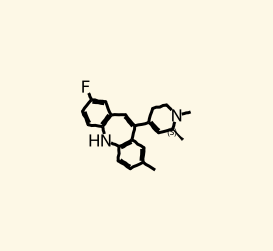 Cc1ccc2c(c1)C(C1=C[C@H](C)N(C)CC1)=Cc1cc(F)ccc1N2